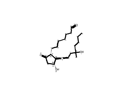 CCCCC(C)(O)CC=C=C1[C@@H](CCCCCCC=O)C(=O)C[C@H]1O